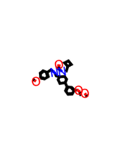 COCOc1cccc(C2CCC3(CC2)CN(Cc2ccc(OC)cc2)C(=O)N3CC2CCC2)c1